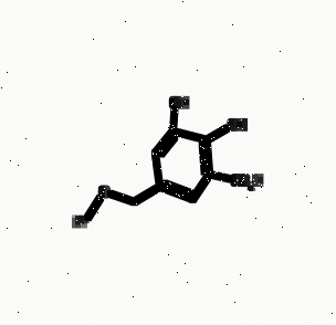 CC(C)OCc1cc(O)c(O)c(C(=O)O)c1